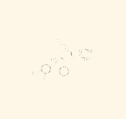 CC(C)c1ccc([C@@H](NC(=O)[C@@H]2C[C@@H](F)CN2C(=O)CN(C=N)N=N)c2ccccc2)cc1F